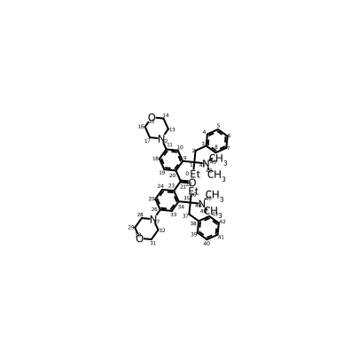 CCC(Cc1ccccc1)(c1cc(N2CCOCC2)ccc1C(=O)c1ccc(N2CCOCC2)cc1C(CC)(Cc1ccccc1)N(C)C)N(C)C